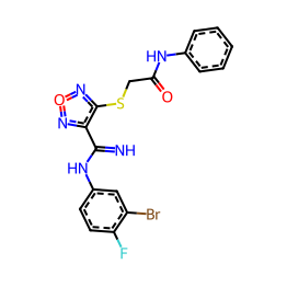 N=C(Nc1ccc(F)c(Br)c1)c1nonc1SCC(=O)Nc1ccccc1